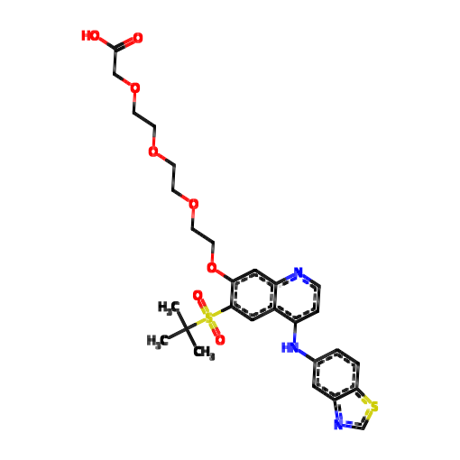 CC(C)(C)S(=O)(=O)c1cc2c(Nc3ccc4scnc4c3)ccnc2cc1OCCOCCOCCOCC(=O)O